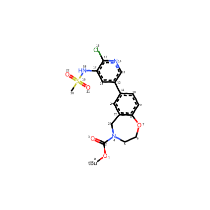 CC(C)(C)OC(=O)N1CCOc2ccc(-c3cnc(Cl)c(NS(C)(=O)=O)c3)cc2C1